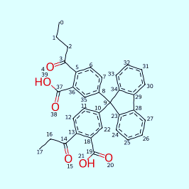 CCCC(=O)c1ccc(C2(c3ccc(C(=O)CC)c(C(=O)O)c3)c3ccccc3-c3ccccc32)cc1C(=O)O